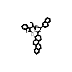 C/C=C(/C1=NC(c2ccc3c(ccc4c5ccccc5ccc34)c2)=NC(c2ccc3ccccc3c2)N1)c1c(N)oc2ccccc12